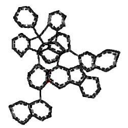 c1ccc(C2(c3ccccc3N(c3ccc(-c4cccc5ccccc45)cc3)c3cccc(-c4ccc5ccccc5c4)c3-c3cccc4c3sc3ccccc34)c3ccccc3-c3ccccc32)cc1